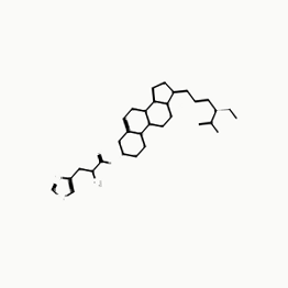 CC[C@H](CC[C@@H](C)C1CCC2C3CC=C4C[C@@H](OC(=O)C(N)Cc5c[nH]cn5)CC[C@]4(C)C3CC[C@@]21C)C(C)C